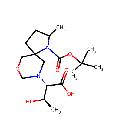 CC1CCC2(COCN([C@H](C(=O)O)[C@@H](C)O)C2)N1C(=O)OC(C)(C)C